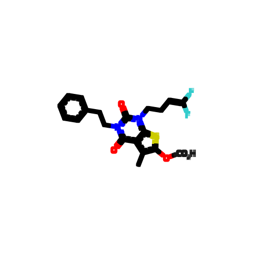 Cc1c(OC(=O)O)sc2c1c(=O)n(CCc1ccccc1)c(=O)n2CCC=C(F)F